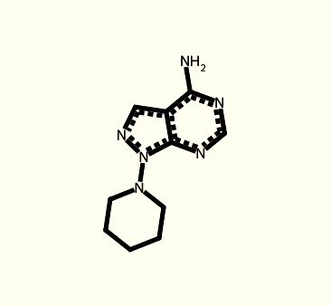 Nc1ncnc2c1cnn2N1CCCCC1